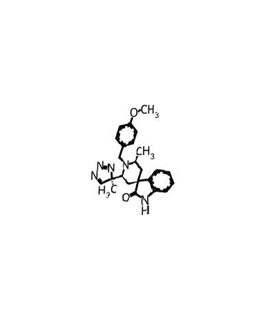 COc1ccc(CN2[C@H]([C@@]3(C)C=NN=N3)C[C@]3(C[C@@H]2C)C(=O)Nc2ccccc23)cc1